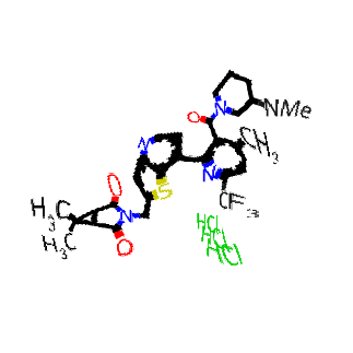 CNC1CCCN(C(=O)c2c(C)cc(C(F)(F)F)nc2-c2ccnc3cc(CN4C(=O)C5C(C4=O)C5(C)C)sc23)C1.Cl.Cl.Cl